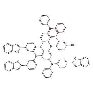 CC(C)(C)c1ccc(N2c3cc(N(c4ccccc4)c4ccccc4)ccc3B3c4ccc(-c5cc6ccccc6o5)cc4N(c4cccc(-c5cc6ccccc6o5)c4)c4cc(N(c5ccccc5)c5ccc(-c6cc7ccccc7o6)cc5)cc2c43)c(-c2ccccc2)c1